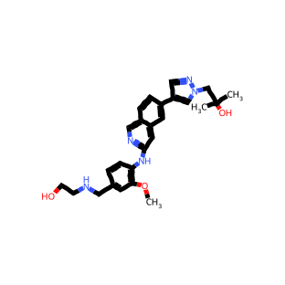 COc1cc(CNCCO)ccc1Nc1cc2cc(-c3cnn(CC(C)(C)O)c3)ccc2cn1